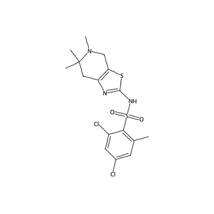 Cc1cc(Cl)cc(Cl)c1S(=O)(=O)Nc1nc2c(s1)CN(C)C(C)(C)C2